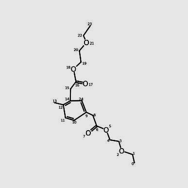 CCOCCOC(=O)Cc1ccc(C)c(CC(=O)OCCOCC)c1